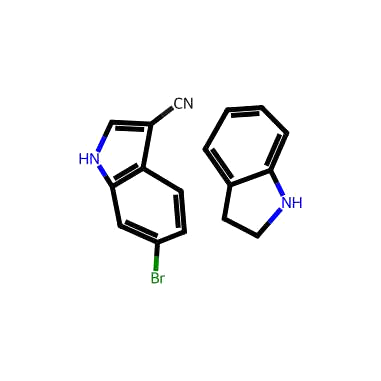 N#Cc1c[nH]c2cc(Br)ccc12.c1ccc2c(c1)CCN2